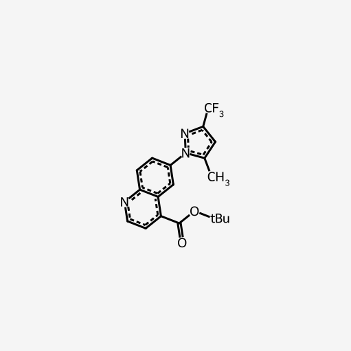 Cc1cc(C(F)(F)F)nn1-c1ccc2nccc(C(=O)OC(C)(C)C)c2c1